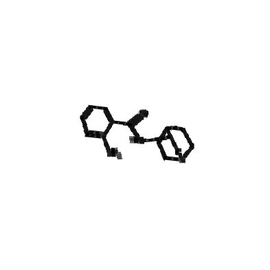 Nc1ccccc1C(=O)NC1CN2CCC1CC2